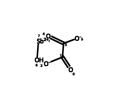 O=C([O-])C(=O)[O-].[OH][Sb+2]